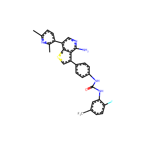 Cc1ccc(-c2cnc(N)c3c(-c4ccc(NC(=O)Nc5cc(C(F)(F)F)ccc5F)cc4)csc23)c(C)n1